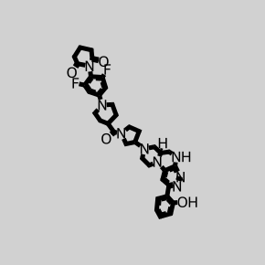 O=C(C1CCN(c2cc(F)c(N3C(=O)CCCC3=O)c(F)c2)CC1)N1CCC(N2CCN3c4cc(-c5ccccc5O)nnc4NC[C@H]3C2)C1